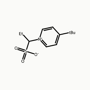 CCC([n+]1ccc(C(C)(C)C)cc1)S(=O)(=O)[O-]